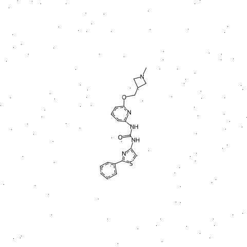 CN1CC(COc2cccc(NC(=O)Nc3csc(-c4ccccc4)n3)n2)C1